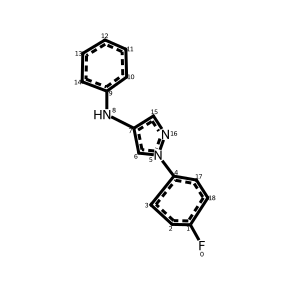 Fc1ccc(-n2cc(Nc3ccccc3)cn2)cc1